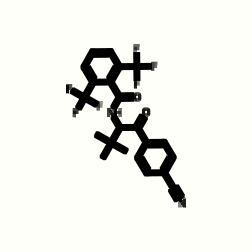 CC(C)(C)C(NC(=O)c1c(C(F)(F)F)cccc1C(F)(F)F)C(=O)c1ccc(C#N)cc1